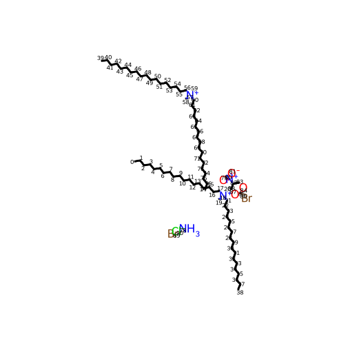 CCCCCCCCCCCCCCCCCC[N+](C)(C)CCCCCCCCCCCCCCCCCC.CCCCCCCCCCCCCCCCCC[N+](C)(C)CCCCCCCCCCCCCCCCCC.N.O=[N+]([O-])C1COC(Br)OC1.[Br-].[Cl-]